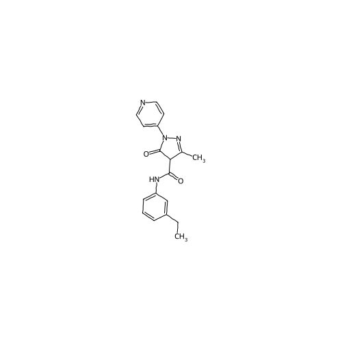 CCc1cccc(NC(=O)C2C(=O)N(c3ccncc3)N=C2C)c1